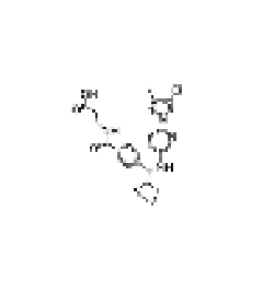 Cc1nn(-c2ccc(N[C@@H](c3ccc(C(=O)NCCC(=O)O)cc3)C3CCCC3)cn2)cc1Cl